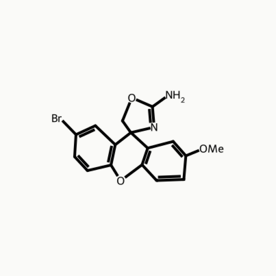 COc1ccc2c(c1)C1(COC(N)=N1)c1cc(Br)ccc1O2